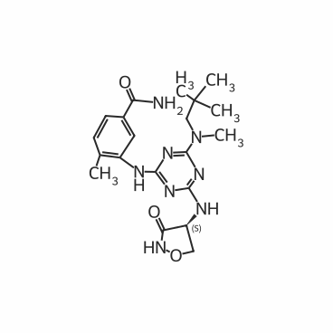 Cc1ccc(C(N)=O)cc1Nc1nc(N[C@H]2CONC2=O)nc(N(C)CC(C)(C)C)n1